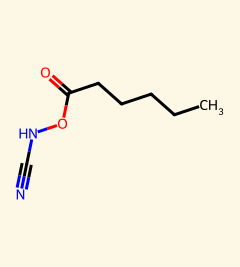 CCCCCC(=O)ONC#N